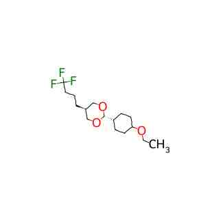 CCOC1CCC([C@H]2OC[C@H](CCCC(F)(F)F)CO2)CC1